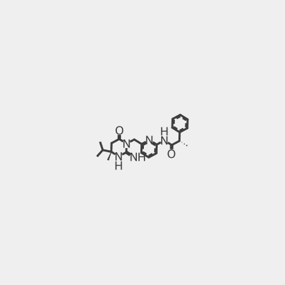 CC(C)[C@]1(C)CC(=O)N(Cc2cccc(NC(=O)[C@@H](C)c3ccccc3)n2)C(=N)N1